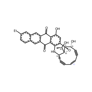 CCc1ccc2cc3c(cc2c1)C(=O)c1c(O)cc2c(c1C3=O)N[C@H]1C#C/C=C\C#C[C@@H](O)[C@@]23O[C@@]13[C@@H](C)O